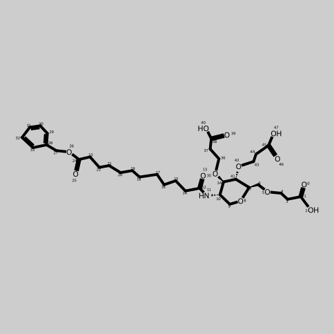 O=C(O)CCOC[C@H]1OC[C@H](NC(=O)CCCCCCCCCCC(=O)OCc2ccccc2)[C@@H](OCCC(=O)O)[C@@H]1OCCC(=O)O